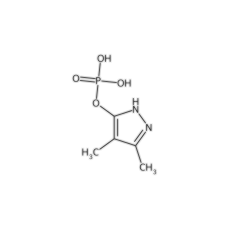 Cc1n[nH]c(OP(=O)(O)O)c1C